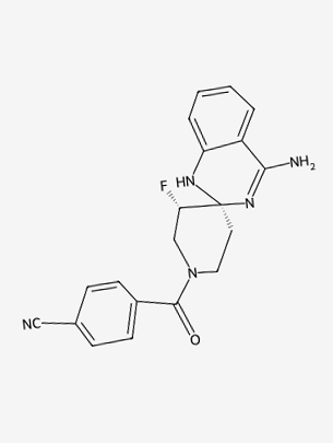 N#Cc1ccc(C(=O)N2CC[C@]3(N=C(N)c4ccccc4N3)[C@@H](F)C2)cc1